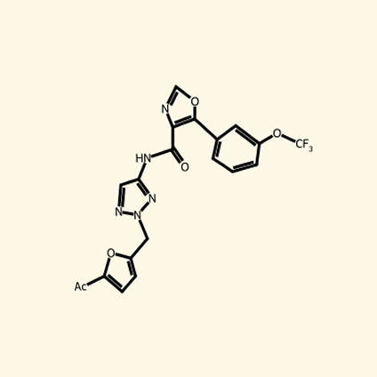 CC(=O)c1ccc(Cn2ncc(NC(=O)c3ncoc3-c3cccc(OC(F)(F)F)c3)n2)o1